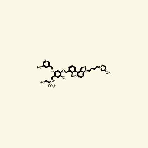 CNc1c(COc2cc(OCc3cncc(C#N)c3)c(CN[C@@H](CO)C(=O)O)cc2Cl)cccc1-c1cccc2c1cnn2CCCCN1CCC(O)C1